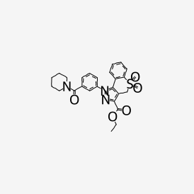 CCOC(=O)c1nn(-c2cccc(C(=O)N3CCCCC3)c2)c2c1CS(=O)(=O)c1ccccc1-2